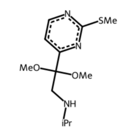 COC(CNC(C)C)(OC)c1ccnc(SC)n1